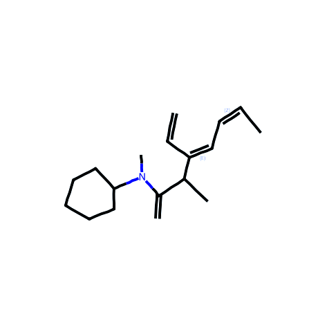 C=C/C(=C\C=C/C)C(C)C(=C)N(C)C1CCCCC1